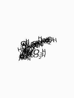 C[C@@H](O)[C@H](NC(=O)CNC(=O)[C@H](CCC(=O)O)NC(=O)C(C)(C)NC(=O)[C@@H](N)Cc1ccc(O)cc1)C(=O)N[C@@H](Cc1ccccc1)C(=O)N[C@H](C(=O)N[C@@H](CO)C(=O)O)[C@@H](C)O